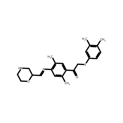 Cc1ccc(SCC(=O)c2cc(C)c(N=CC3CNCCO3)cc2C)cc1C